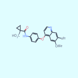 CCCc1cc2nccc(Oc3ccc(NC(=O)C4(C(=O)O)CC4)cc3)c2cc1OC